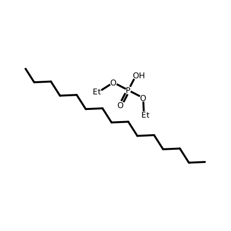 CCCCCCCCCCCCCCC.CCOP(=O)(O)OCC